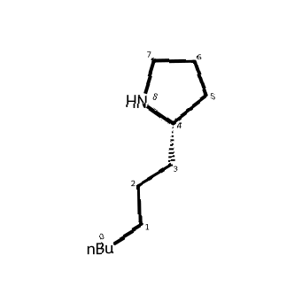 CCCCCCC[C@H]1CCCN1